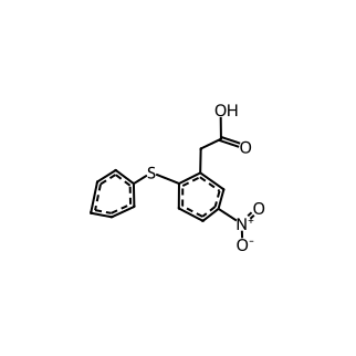 O=C(O)Cc1cc([N+](=O)[O-])ccc1Sc1ccccc1